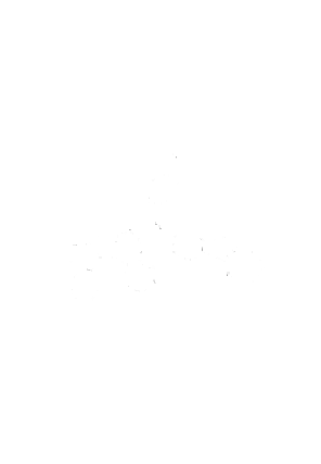 N#Cc1ccc(N(c2ccc3c(c2)oc2ccccc23)c2cc3oc4ccc5ccccc5c4c3c3ccccc23)cc1